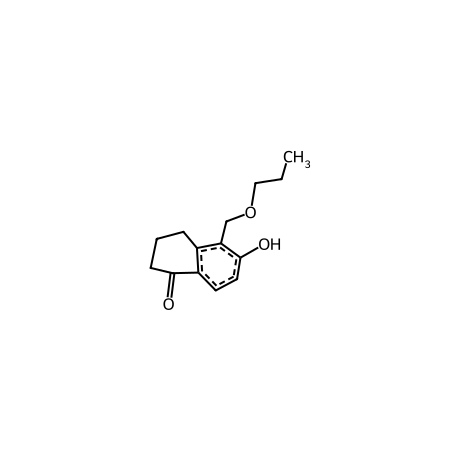 CCCOCc1c(O)ccc2c1CCCC2=O